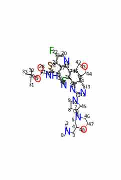 CN(C)CC1CN([C@H]2CCN(c3ncc4c5c(c(-c6ncc(F)c7sc(NC(=O)OC(C)(C)C)c(C#N)c67)c(F)c4n3)COC5)C2)CCO1